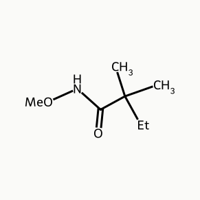 CCC(C)(C)C(=O)NOC